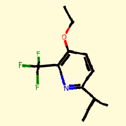 CCOc1ccc(C(C)C)nc1C(F)(F)F